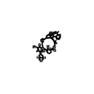 CCn1c(-c2cccnc2[C@H](C)OC)c2c3cc(ccc31)-c1csc(n1)C[C@H](NC(=O)C(C(C)C)N(C)C(=O)N1C[C@H]3COC[C@H]3C1)C(=O)N1CCC[C@H](N1)C(=O)OCC(C)(C)C2